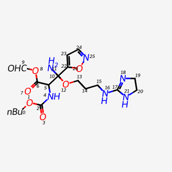 CCCCOC(=O)NC(C(=O)OC=O)C(N)(OCCCNC1=NCCN1)c1ccno1